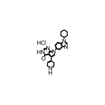 Cl.O=c1[nH]cnc2c1c(C1=CCNCC1)cn2-c1ccc2c(c1)ncn2C1CCCCC1